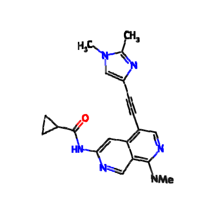 CNc1ncc(C#Cc2cn(C)c(C)n2)c2cc(NC(=O)C3CC3)ncc12